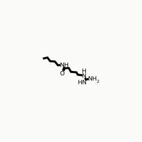 CCCCCNC(=O)CCCCNC(=N)N